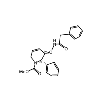 COC(=O)N1CC=C[C@@H](ONC(=O)Cc2ccccc2)[C@@H]1c1ccccc1